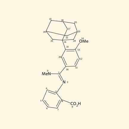 CNC(=Nc1ccccc1C(=O)O)c1ccc(OC)c(C23CC4CC(CC(C4)C2)C3)c1